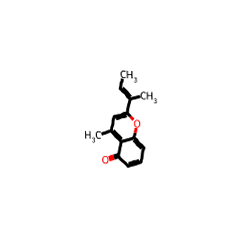 CC=C(C)c1cc(C)c2c(=O)cccc-2o1